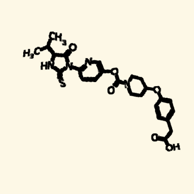 CC(C)C1NC(=S)N(c2ccc(OC(=O)N3CCC(Oc4ccc(CC(=O)O)cc4)CC3)cn2)C1=O